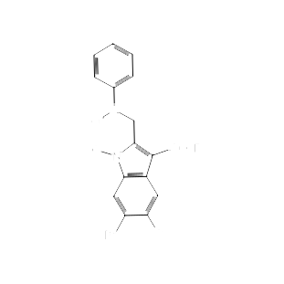 CCOC(=O)c1c(C[S+]([O-])c2ccccc2)n(C)c2cc(Br)c(O)cc12